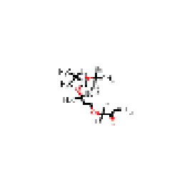 C=CC(=O)C(CC)(CC)OCCC(C)(CC)O[Si](C)(OC(C)(CC)CC)C(C)(C)CC